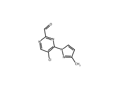 Cc1ccn(-c2nc(C=O)ncc2Cl)n1